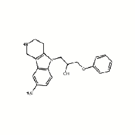 Cc1ccc2c(c1)c1c(n2CC(O)COc2ccccc2)CCNC1